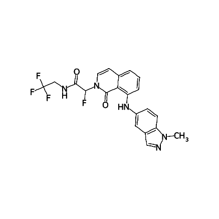 Cn1ncc2cc(Nc3cccc4ccn(C(F)C(=O)NCC(F)(F)F)c(=O)c34)ccc21